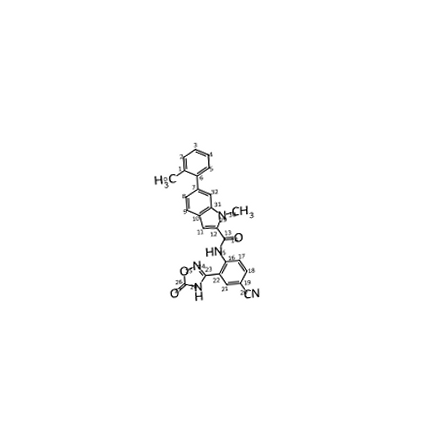 Cc1ccccc1-c1ccc2cc(C(=O)Nc3ccc(C#N)cc3-c3noc(=O)[nH]3)n(C)c2c1